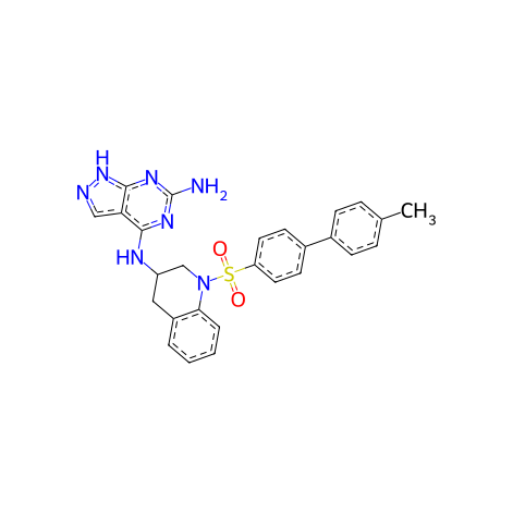 Cc1ccc(-c2ccc(S(=O)(=O)N3CC(Nc4nc(N)nc5[nH]ncc45)Cc4ccccc43)cc2)cc1